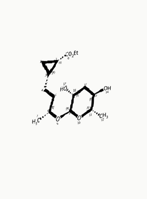 CCOC(=O)[C@H]1C[C@H]1CC[C@@H](C)O[C@@H]1O[C@@H](C)[C@H](O)C[C@H]1O